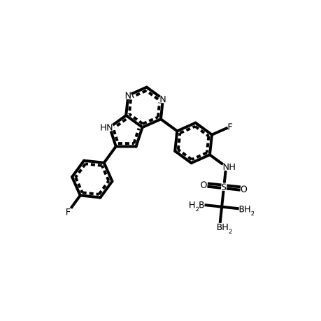 BC(B)(B)S(=O)(=O)Nc1ccc(-c2ncnc3[nH]c(-c4ccc(F)cc4)cc23)cc1F